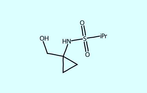 CC(C)S(=O)(=O)NC1(CO)CC1